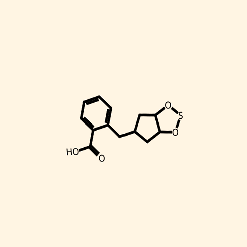 O=C(O)c1ccccc1CC1CC2OSOC2C1